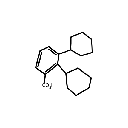 O=C(O)c1cccc(C2CCCCC2)c1C1CCCCC1